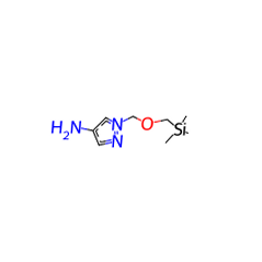 C[Si](C)(C)COCn1cc(N)cn1